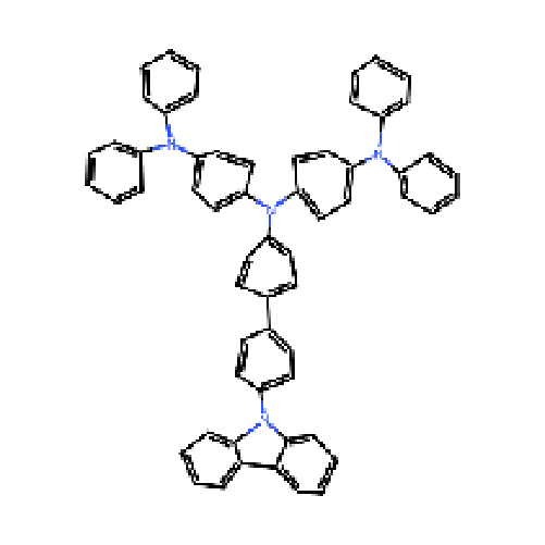 c1ccc(N(c2ccccc2)c2ccc(N(c3ccc(-c4ccc(-n5c6ccccc6c6ccccc65)cc4)cc3)c3ccc(N(c4ccccc4)c4ccccc4)cc3)cc2)cc1